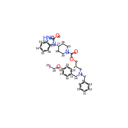 O=C(OCCCN(Cc1ccccc1)Cc1ccc(OCI)cc1)N1CCC(n2c(=O)[nH]c3ccccc32)CC1